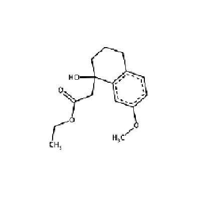 CCOC(=O)CC1(O)CCCc2ccc(OC)cc21